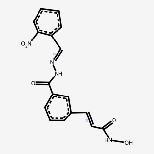 O=C(/C=C/c1cccc(C(=O)N/N=C/c2ccccc2[N+](=O)[O-])c1)NO